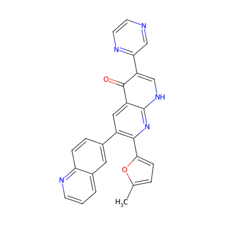 Cc1ccc(-c2nc3[nH]cc(-c4cnccn4)c(=O)c3cc2-c2ccc3ncccc3c2)o1